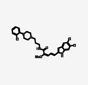 CO/C(=C/C=C/c1cc2cc(Cl)c(Cl)cc2[nH]1)C(=O)NCCCN1CCN(c2ccccc2Cl)CC1